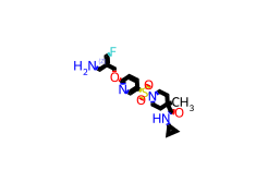 CC1(C(=O)NC2CC2)CCN(S(=O)(=O)c2ccc(OC/C(=C\F)CN)nc2)CC1